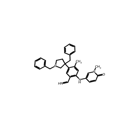 Cc1cc(Nc2ccc(=O)n(C)c2)c(C=N)cc1C1(Cc2ccccc2)CCN(Cc2ccccc2)C1